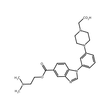 CN(C)CCOC(=O)c1ccc2c(c1)ncn2-c1cccc(N2CCN(CC(=O)O)CC2)c1